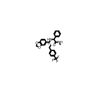 CNC(=O)C(N[C@H](CCc1ccc(C(F)(F)F)cc1)c1ccc2c(c1)OCO2)c1ccccc1